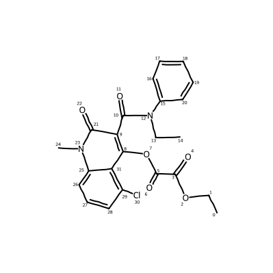 CCOC(=O)C(=O)Oc1c(C(=O)N(CC)c2ccccc2)c(=O)n(C)c2cccc(Cl)c12